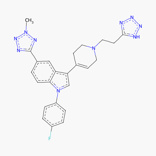 Cn1nnc(-c2ccc3c(c2)c(C2=CCN(CCc4nnn[nH]4)CC2)cn3-c2ccc(F)cc2)n1